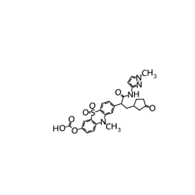 CN1c2cc(C(CC3CCC(=O)C3)C(=O)Nc3ccn(C)n3)ccc2S(=O)(=O)c2cc(OC(=O)O)ccc21